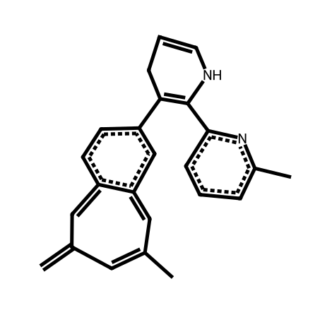 C=C1C=C(C)C=c2cc(C3=C(c4cccc(C)n4)NC=CC3)ccc2=C1